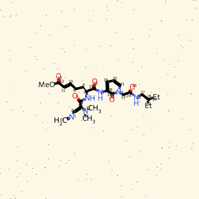 C=N/C=C(/C(=O)N[C@@H](CC/C=C/C(=O)OC)C(=O)Nc1cccn(CC(=O)NCC(CC)CC)c1=O)N(C)C